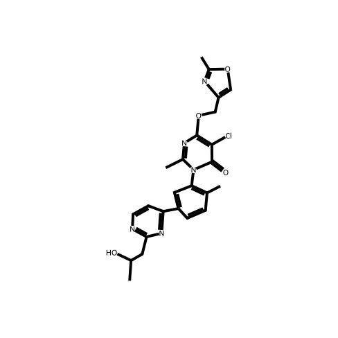 Cc1nc(COc2nc(C)n(-c3cc(-c4ccnc(CC(C)O)n4)ccc3C)c(=O)c2Cl)co1